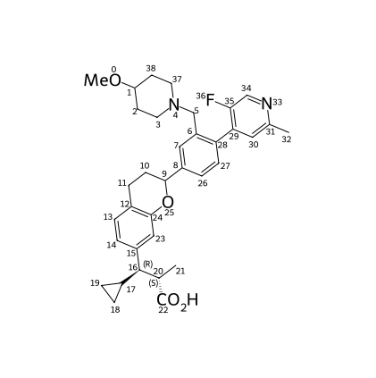 COC1CCN(Cc2cc(C3CCc4ccc([C@H](C5CC5)[C@H](C)C(=O)O)cc4O3)ccc2-c2cc(C)ncc2F)CC1